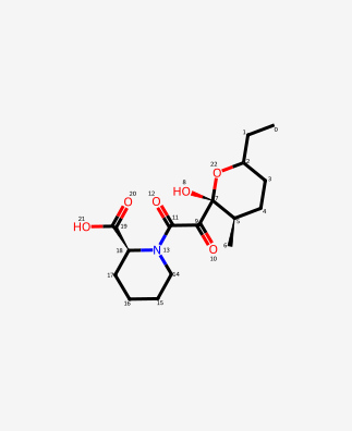 CCC1CC[C@@H](C)[C@](O)(C(=O)C(=O)N2CCCC[C@H]2C(=O)O)O1